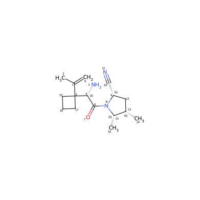 C=C(C)C1([C@H](N)C(=O)N2[C@H](C#N)C[C@H](C)[C@@H]2C)CCC1